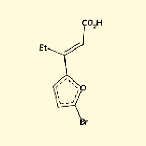 CC/C(=C\C(=O)O)c1ccc(Br)o1